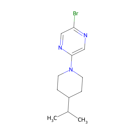 CC(C)C1CCN(c2cnc(Br)cn2)CC1